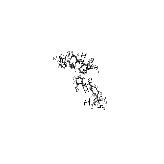 CN(C)C(=O)C(O)c1ccc(Nc2cc(-c3ccc(F)c(NC(=O)c4ccc(C(C)(C)C)cc4)c3)nn(C)c2=O)nc1